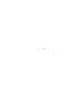 CC1(C)[C@H](NC(=O)c2ccc(C#CCCCCOCC(=O)O)cc2)C(C)(C)[C@H]1Oc1ccc(C#N)c(Br)c1